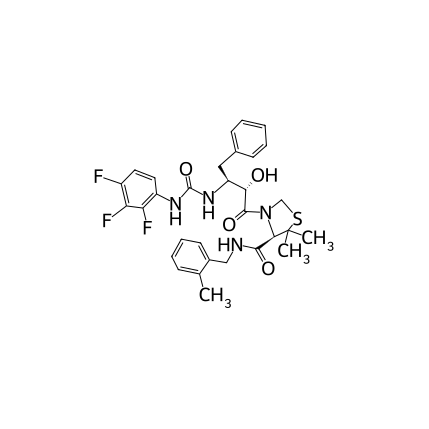 Cc1ccccc1CNC(=O)[C@H]1N(C(=O)[C@@H](O)[C@H](Cc2ccccc2)NC(=O)Nc2ccc(F)c(F)c2F)CSC1(C)C